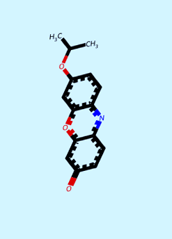 CC(C)Oc1ccc2nc3ccc(=O)cc-3oc2c1